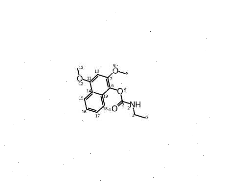 CCNC(=O)Oc1c(OC)cc(OC)c2ccccc12